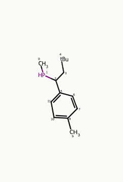 CPC(CC(C)(C)C)c1ccc(C)cc1